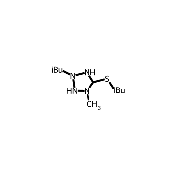 CCC(C)SC1NN(C(C)CC)NN1C